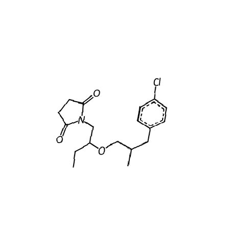 CCC(CN1C(=O)CCC1=O)OCC(C)Cc1ccc(Cl)cc1